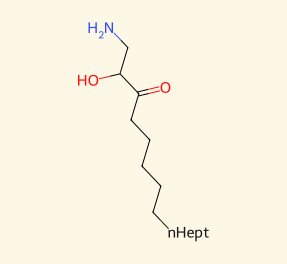 CCCCCCCCCCCCC(=O)C(O)CN